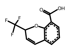 O=C(O)c1cccc2c1OC(C(F)(F)F)C=C2